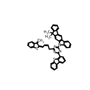 C=c1/c(=C\C=C/Cc2nc(-c3cccc4c3sc3ccccc34)nc(-n3c4ccccc4c4cc5c(cc43)C(C)(C)c3ccccc3-5)n2)sc2ccccc12